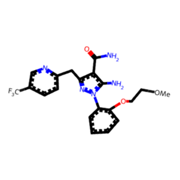 COCCOc1ccccc1-n1nc(Cc2ccc(C(F)(F)F)cn2)c(C(N)=O)c1N